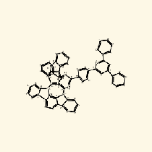 c1ccc(-c2cc(-c3ccccc3)nc(-c3ccc(-c4nc(-c5ccccc5)nc(-n5c6ccccc6c6ccc7c8ccccc8n(-c8ccc9c(c8)oc8ccccc89)c7c65)n4)cc3)c2)cc1